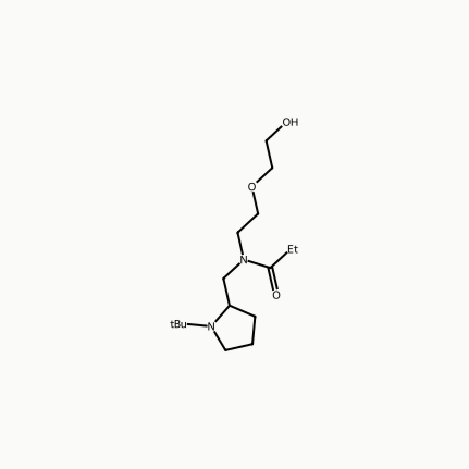 CCC(=O)N(CCOCCO)CC1CCCN1C(C)(C)C